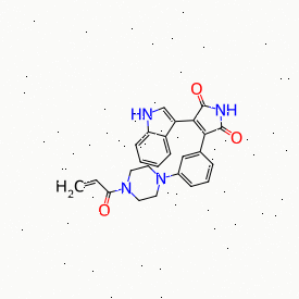 C=CC(=O)N1CCN(c2cccc(C3=C(c4c[nH]c5ccccc45)C(=O)NC3=O)c2)CC1